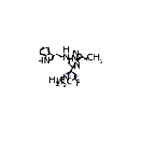 C=Cc1cnn2c(NCCc3c[nH]c4ccccc34)cc(C(/C=C(\C)F)=C/N=C)nc12